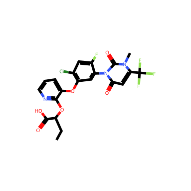 CCC(Oc1ncccc1Oc1cc(-n2c(=O)cc(C(F)(F)F)n(C)c2=O)c(F)cc1Cl)C(=O)O